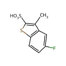 Cc1c(S(=O)(=O)O)sc2ccc(F)cc12